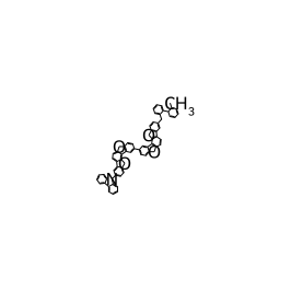 CC1C=CC=CC1c1ccccc1Cc1ccc2oc3c(ccc4oc5ccc(-c6ccc7oc8ccc9c%10cc(-n%11c%12ccccc%12c%12ccccc%12%11)ccc%10oc9c8c7c6)cc5c43)c2c1